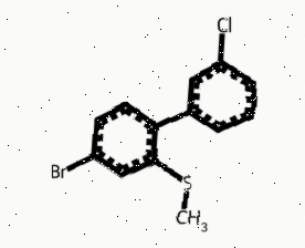 CSc1cc(Br)ccc1-c1cccc(Cl)c1